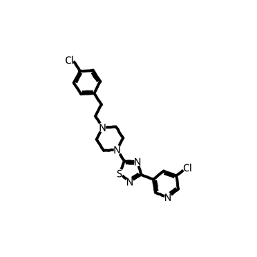 Clc1ccc(CCN2CCN(c3nc(-c4cncc(Cl)c4)ns3)CC2)cc1